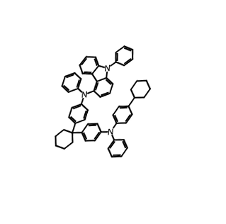 c1ccc(N(c2ccc(C3CCCCC3)cc2)c2ccc(C3(c4ccc(N(c5ccccc5)c5cccc6c5c5ccccc5n6-c5ccccc5)cc4)CCCCC3)cc2)cc1